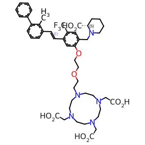 Cc1c(/C=C/c2cc(OCCOCCN3CCN(CC(=O)O)CCN(CC(=O)O)CCN(CC(=O)O)CC3)c(CN3CCCC[C@H]3C(=O)O)cc2C(F)(F)F)cccc1-c1ccccc1